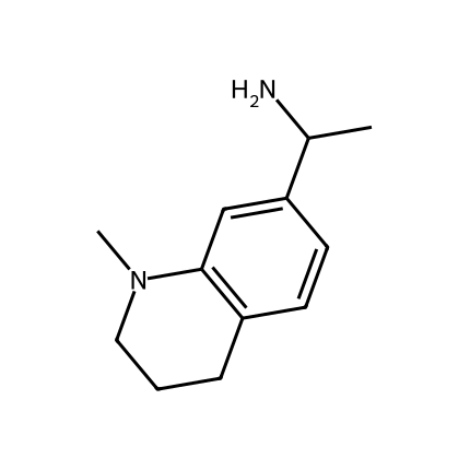 CC(N)c1ccc2c(c1)N(C)CCC2